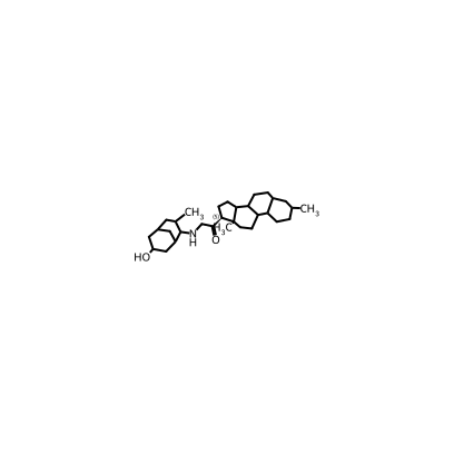 CC1CCC2C(CCC3C2CCC2(C)C3CC[C@@H]2C(=O)CNC2C(C)CC3CC(O)CC2C3)C1